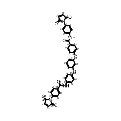 O=C(Nc1ccc(N2C(=O)C=CC2=O)cc1)c1ccc(Oc2cccc(Oc3ccc(NC(=O)c4ccc(N5C(=O)C=CC5=O)cc4)cc3)c2)cc1